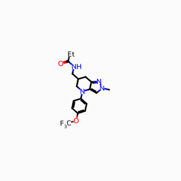 CCC(=O)NCC1Cc2nn(C)cc2N(c2ccc(OC(F)(F)F)cc2)C1